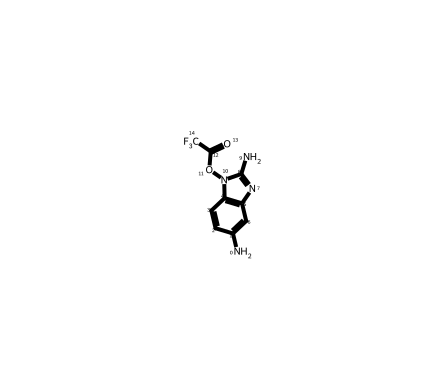 Nc1ccc2c(c1)nc(N)n2OC(=O)C(F)(F)F